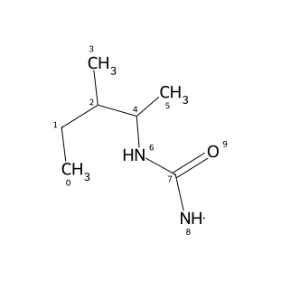 CCC(C)C(C)NC([NH])=O